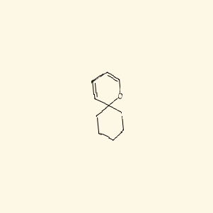 C1=COC2(C=C1)CCCCC2